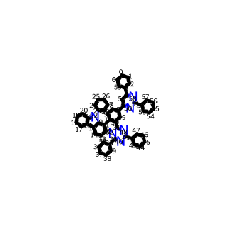 c1ccc(-c2cc(-c3ccc(-c4cccc5c6ccccc6n(-c6ccccc6)c45)c(-c4nc(-c5ccccc5)nc(-c5ccccc5)n4)c3)nc(-c3ccccc3)n2)cc1